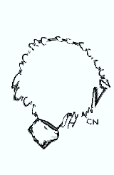 N#Cn1nnncccccccccccccccc2ccccc2o[nH]1